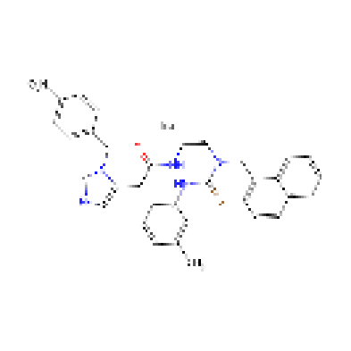 CC[C@H](C)[C@@H](CN(Cc1cccc2ccccc12)C(=S)Nc1cccc(C)c1)NC(=O)Cc1cncn1Cc1ccc([N+](=O)[O-])cc1